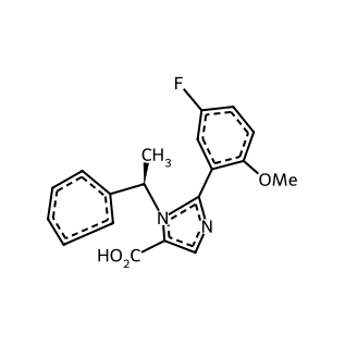 COc1ccc(F)cc1-c1ncc(C(=O)O)n1[C@H](C)c1ccccc1